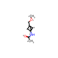 COCC12CC(NC(C)=O)(C1)C2